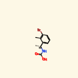 Cc1c(Br)cccc1[C@@H](C)NC(=O)O